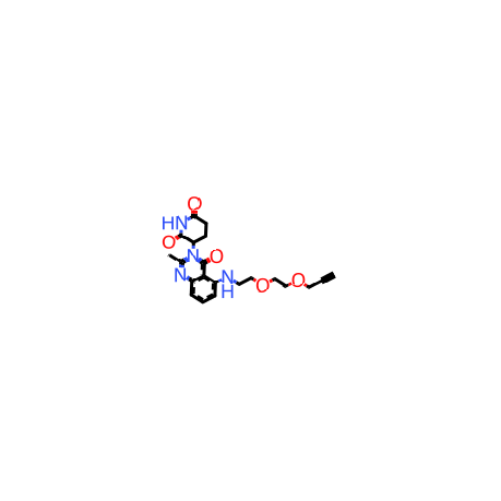 C#CCOCCOCCNc1cccc2nc(C)n(C3CCC(=O)NC3=O)c(=O)c12